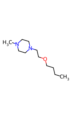 CCCCOCCN1CCN(C)CC1